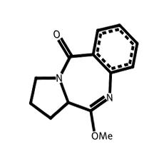 COC1=Nc2ccccc2C(=O)N2CCCC12